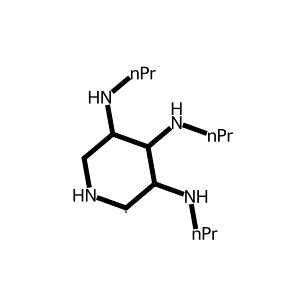 CCCNC1[CH]NCC(NCCC)C1NCCC